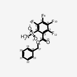 NS(=O)(=O)c1c(F)c(F)c(F)c(F)c1C(=O)OCc1ccccc1